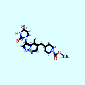 Cc1c(CC2CCN(C(=O)OC(C)(C)C)CC2)ccn2ncc(N3CCC(=O)NC3=O)c12